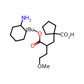 COCCC(CC1(C(=O)O)CCCC1)C(=O)OC(C)(C)C.NC1CCCCC1